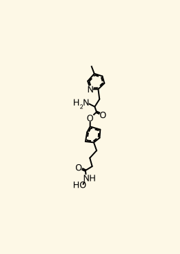 Cc1ccc(CC(N)C(=O)Oc2ccc(CCCC(=O)NO)cc2)nc1